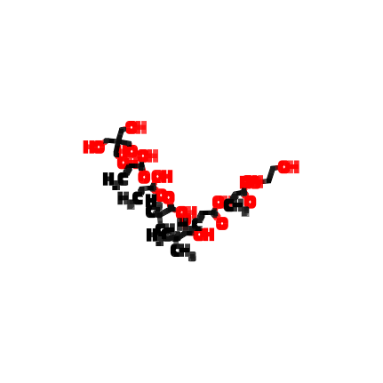 C=C(C)C(=O)O.C=C(C)C(=O)O.C=CC(=O)O.C=CC(=O)O.C=CC(=O)O.C=CC(=O)O.OCC(CO)(CO)CO.OCCO